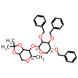 C[C@H]1OCC2OC(C)(C)OC2C1O[C@@H]1OC[C@@H](OCc2ccccc2)C(OCc2ccccc2)C1OCc1ccccc1